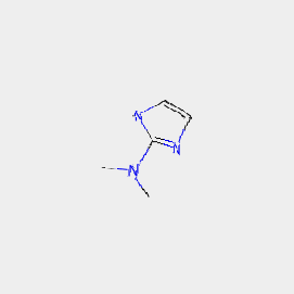 CN(C)C1=NC=C[N]1